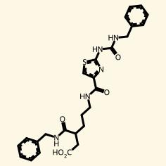 O=C(O)CC(CCCNC(=O)c1csc(NC(=O)NCc2ccccc2)n1)C(=O)NCc1ccccc1